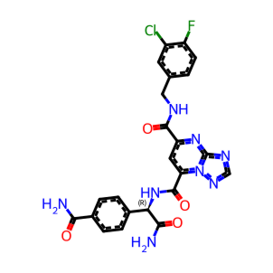 NC(=O)c1ccc([C@@H](NC(=O)c2cc(C(=O)NCc3ccc(F)c(Cl)c3)nc3ncnn23)C(N)=O)cc1